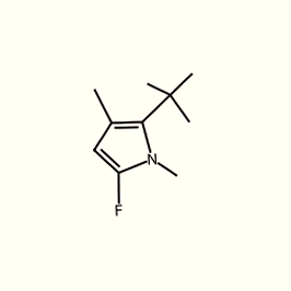 Cc1cc(F)n(C)c1C(C)(C)C